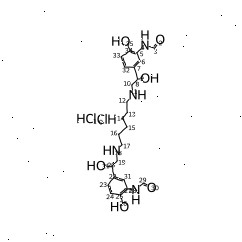 Cl.Cl.O=CNc1cc(C(O)CNCCCCCCNCC(O)c2ccc(O)c(NC=O)c2)ccc1O